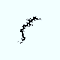 Cc1ccc(C#Cc2ccc(-c3ccc(C4=C/C(=C5/C=C(c6ccc(C)s6)OC5=O)C(=O)O4)s3)s2)s1